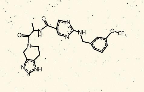 CC(NC(=O)c1cnc(NCc2cccc(OC(F)(F)F)c2)nc1)C(=O)N1CCc2[nH]nnc2C1